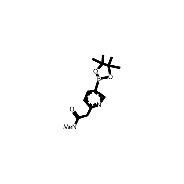 CNC(=O)Cc1ccc(B2OC(C)(C)C(C)(C)O2)cn1